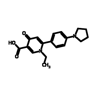 CCn1cc(C(=O)O)c(=O)cc1-c1ccc(N2CCCC2)cc1